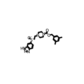 Cc1cc(C)cc(COC(=O)N2CCN(CC[S+]([O-])c3ccc4nn[nH]c4c3)CC2)c1